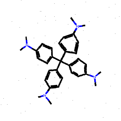 CN(C)c1ccc(C(c2ccc(N(C)C)cc2)(c2ccc(N(C)C)cc2)c2ccc(N(C)C)cc2)cc1